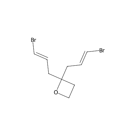 BrC=CCC1(CC=CBr)CCO1